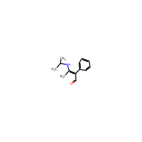 CC(NC(C)C)=C(C=O)c1ccccc1